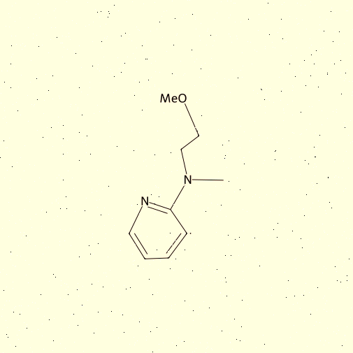 COCCN(C)c1[c]cccn1